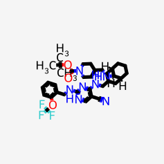 CC(C)(C)OC(=O)N1CCC(CN[C@@H]2[C@@H]3CCC[C@H]2CC(CNc2nc(NCc4ccccc4OC(F)(F)F)ncc2C#N)C3)CC1